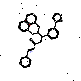 O=C(/C=C/c1ccccc1)CC(c1cccc(-c2cccs2)c1)N(Cc1ccccc1)Cc1ccccc1